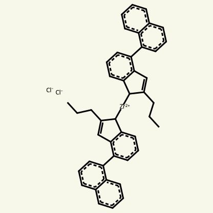 CCCC1=Cc2c(-c3cccc4ccccc34)cccc2[CH]1[Zr+2][CH]1C(CCC)=Cc2c(-c3cccc4ccccc34)cccc21.[Cl-].[Cl-]